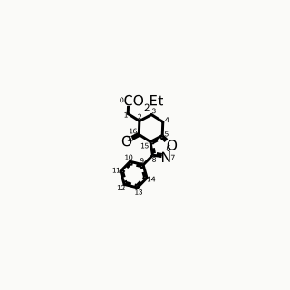 CCOC(=O)CC1CCc2onc(-c3ccccc3)c2C1=O